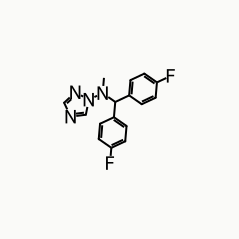 CN(C(c1ccc(F)cc1)c1ccc(F)cc1)n1cncn1